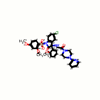 COc1ccc(S(=O)(=O)N2C(=O)C(NCC(=O)N3CCN(c4ccccn4)CC3)(c3ccccc3OC)c3cc(Cl)ccc32)c(OC)c1